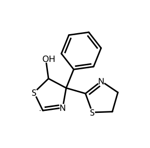 OC1S[C]=NC1(C1=NCCS1)c1ccccc1